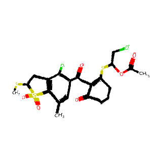 CSC1Cc2c(Cl)c(C(=O)C3=C(SC(CCl)OC(C)=O)CCCC3=O)cc(C)c2S1(=O)=O